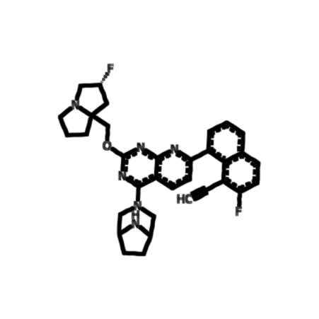 C#Cc1c(F)ccc2cccc(-c3ccc4c(N5CC6CCC(C5)N6)nc(OCC56CCCN5C[C@H](F)C6)nc4n3)c12